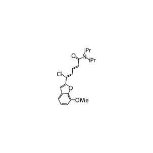 COc1cccc2cc(C(Cl)=CC=CC(=O)N(C(C)C)C(C)C)oc12